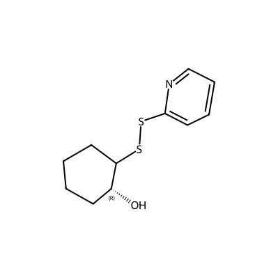 O[C@@H]1CCCCC1SSc1ccccn1